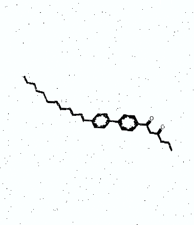 CCCCCCCCCCCCc1ccc(-c2ccc(C(=O)CC(=O)CCC)cc2)cc1